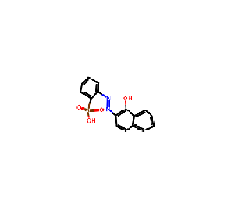 O=S(=O)(O)c1ccccc1N=Nc1ccc2ccccc2c1O